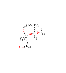 CC(C)[O][Ti+3].CCC(=O)CC(=O)[O-].CCC(=O)CC(=O)[O-].CCC(=O)CC(=O)[O-]